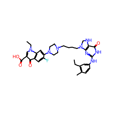 CCc1cc(Nc2nc3c(c(=O)[nH]2)NCN3CCCCN2CCN(c3cc4c(cc3F)c(=O)c(C(=O)O)cn4CC)CC2)ccc1C